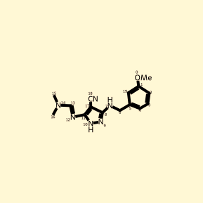 COc1cccc(CNc2n[nH]c(N=CN(C)C)c2C#N)c1